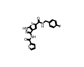 O=C(Nc1n[nH]c2sc(C(=O)NCc3ccc(F)cc3)cc12)c1cccs1